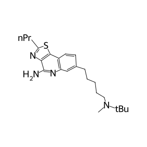 CCCc1nc2c(N)nc3cc(CCCCCN(C)C(C)(C)C)ccc3c2s1